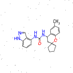 Cc1ccc2c(c1)C(NC(=O)Nc1cccc3[nH]ncc13)CC1(CCCC1)O2